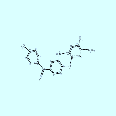 COc1cc(Oc2ccc(C(=O)c3ccc(C)cc3)cc2)c(N)cc1N